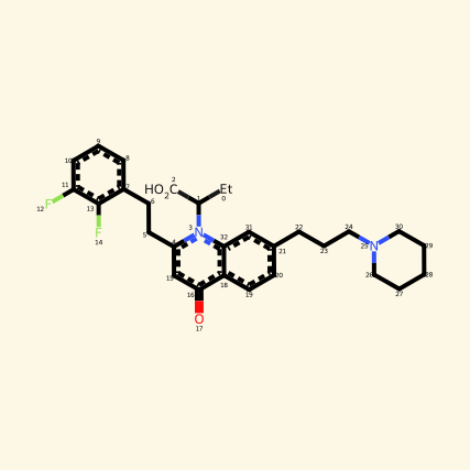 CCC(C(=O)O)n1c(CCc2cccc(F)c2F)cc(=O)c2ccc(CCCN3CCCCC3)cc21